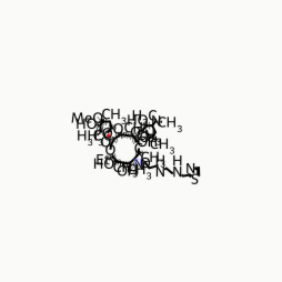 CC[C@H]1OC(=O)[C@H](C)[C@@H](O[C@H]2C[C@@](C)(OC)[C@H](O)[C@H](C)O2)[C@H](C)[C@H](O[C@@H]2O[C@H](C)CC(N(C)C)[C@@H]2O)[C@](C)(O)C[C@@H](C)/C(=N\OCCNCCNCc2nccs2)[C@H](C)[C@H](O)[C@]1(C)O